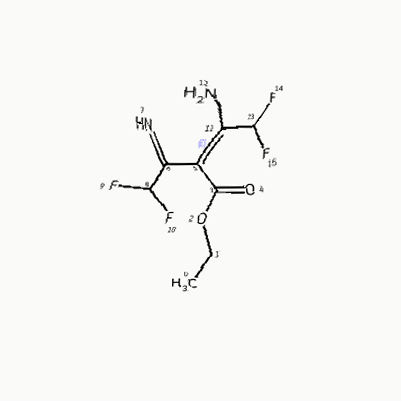 CCOC(=O)/C(C(=N)C(F)F)=C(/N)C(F)F